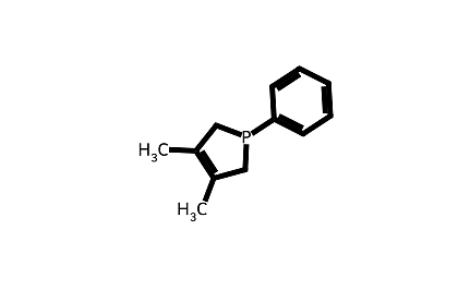 CC1=C(C)CP(c2ccccc2)C1